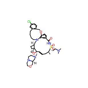 CO[C@]1(CN2CCN3CCOC[C@@H]3C2)/C=C/C[C@H](C)[C@@H](CCN(C)C)S(=O)(=O)NC(=O)c2ccc3c(c2)N(CCCCc2cc(Cl)ccc2CO3)C[C@@H]2CC[C@H]21